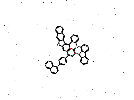 CC12c3ccccc3-c3cccc(c31)N(c1ccccc1-c1cccc3oc4cc5ccccc5cc4c13)c1ccc(-c3ccc(-c4cccc5ccccc45)cc3)cc12